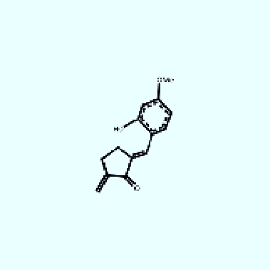 C=C1CCC(=Cc2ccc(OC)cc2O)C1=O